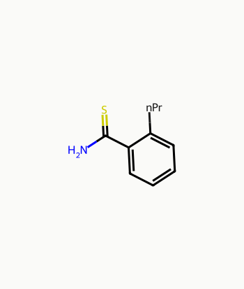 CCCc1ccccc1C(N)=S